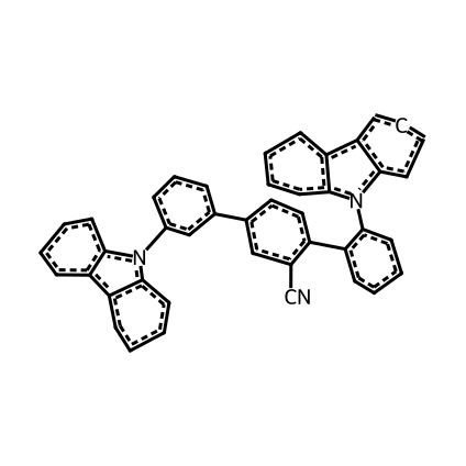 N#Cc1cc(-c2cccc(-n3c4ccccc4c4ccccc43)c2)ccc1-c1ccccc1-n1c2ccccc2c2ccccc21